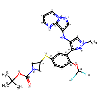 Cn1cc(Nc2cnn3cccnc23)c(-c2cc(SC3CN(C(=O)OC(C)(C)C)C3)ccc2OC(F)F)n1